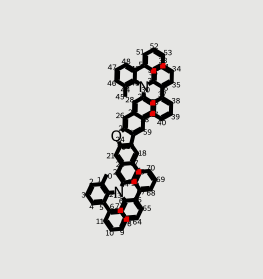 Cc1cccc(-c2ccccc2)c1N(c1ccc2cc3c(cc2c1)oc1cc2cc(N(c4ccccc4-c4ccccc4)c4c(C)cccc4-c4ccccc4)ccc2cc13)c1ccccc1-c1ccccc1